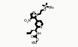 C=CC[C@H](NC(=O)OC(C)(C)C)c1cc(-c2c([N+](=O)[O-])cnn2CCO[Si](C)(C)C(C)(C)C)ccn1